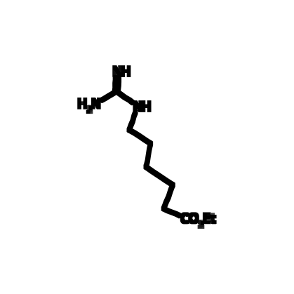 CCOC(=O)CCCCCNC(=N)N